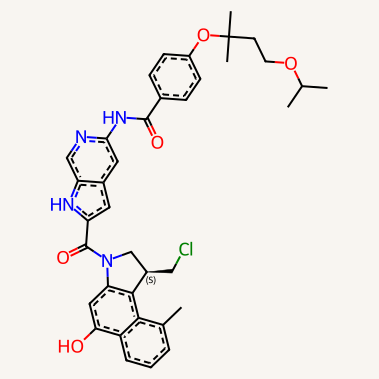 Cc1cccc2c(O)cc3c(c12)[C@H](CCl)CN3C(=O)c1cc2cc(NC(=O)c3ccc(OC(C)(C)CCOC(C)C)cc3)ncc2[nH]1